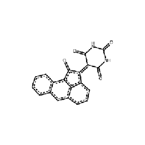 O=C1NC(=O)C(=c2c(=O)c3c4ccccc4cc4cccc2c43)C(=O)N1